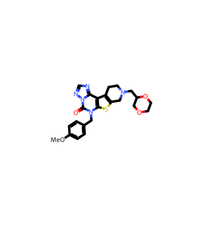 COc1ccc(Cn2c(=O)n3ncnc3c3c4c(sc32)CN(CC2COCCO2)CC4)cc1